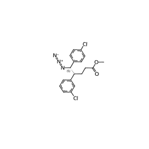 COC(=O)CCC(c1cccc(Cl)c1)[C@H](N=[N+]=[N-])c1ccc(Cl)cc1